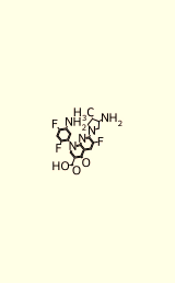 C[C@H]1CN(c2nc3c(cc2F)c(=O)c(C(=O)O)cn3-c2cc(N)c(F)cc2F)C[C@@H]1N